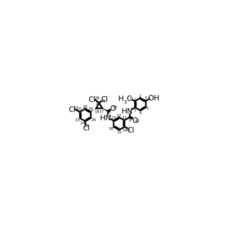 Cc1cc(O)ccc1NC(=O)c1cc(NC(=O)[C@H]2[C@H](c3cc(Cl)cc(Cl)c3)C2(Cl)Cl)ccc1Cl